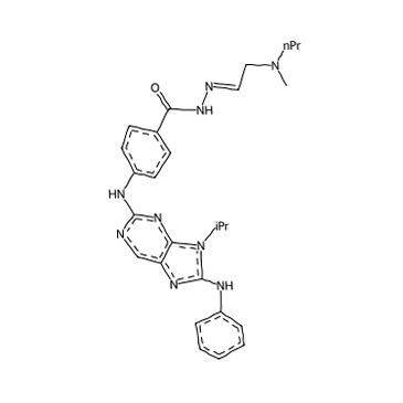 CCCN(C)C/C=N/NC(=O)c1ccc(Nc2ncc3nc(Nc4ccccc4)n(C(C)C)c3n2)cc1